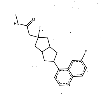 CNC(=O)CC1(F)CC2CC(c3ccnc4ccc(F)cc34)CC2C1